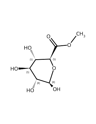 COC(=O)[C@H]1O[C@@H](O)[C@H](O)[C@@H](O)[C@@H]1O